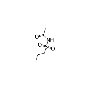 CCCS(=O)(=O)NC(C)=O